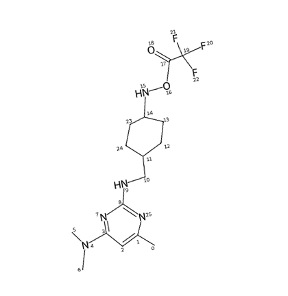 Cc1cc(N(C)C)nc(NCC2CCC(NOC(=O)C(F)(F)F)CC2)n1